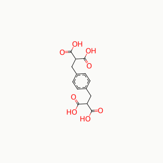 O=C(O)C(Cc1ccc(CC(C(=O)O)C(=O)O)cc1)C(=O)O